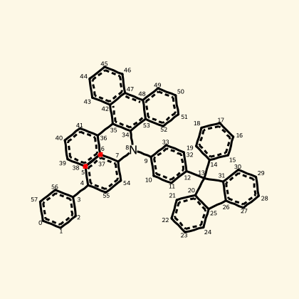 c1ccc(-c2ccc(N(c3ccc(C4(c5ccccc5)c5ccccc5-c5ccccc54)cc3)c3c(-c4ccccc4)c4ccccc4c4ccccc34)cc2)cc1